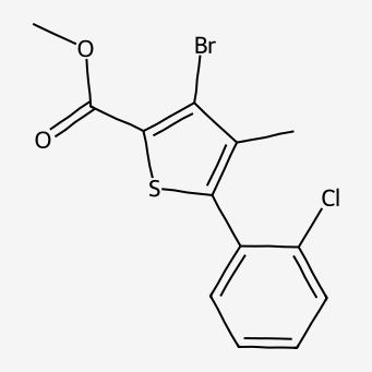 COC(=O)c1sc(-c2ccccc2Cl)c(C)c1Br